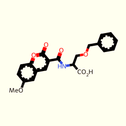 COc1ccc2oc(=O)c(C(=O)NC(COCc3ccccc3)C(=O)O)cc2c1